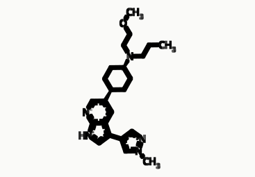 CCCN(CCOC)[C@H]1CC[C@@H](c2cnc3[nH]cc(-c4cnn(C)c4)c3c2)CC1